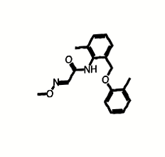 CON=CC(=O)Nc1c(C)cccc1COc1ccccc1C